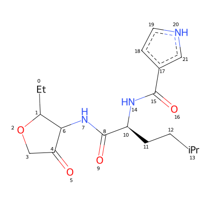 CCC1OCC(=O)C1NC(=O)[C@H](CCC(C)C)NC(=O)c1cc[nH]c1